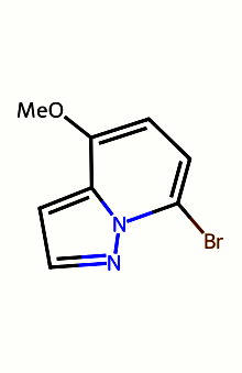 COc1ccc(Br)n2nccc12